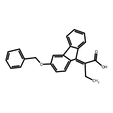 CCC(C(=O)O)=C1c2ccccc2-c2cc(OCc3ccccc3)ccc21